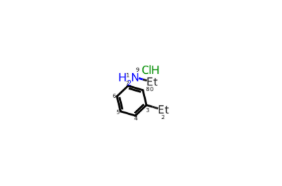 CCN.CCc1ccccc1.Cl